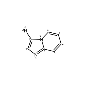 [2H]c1cnc2ccccn12